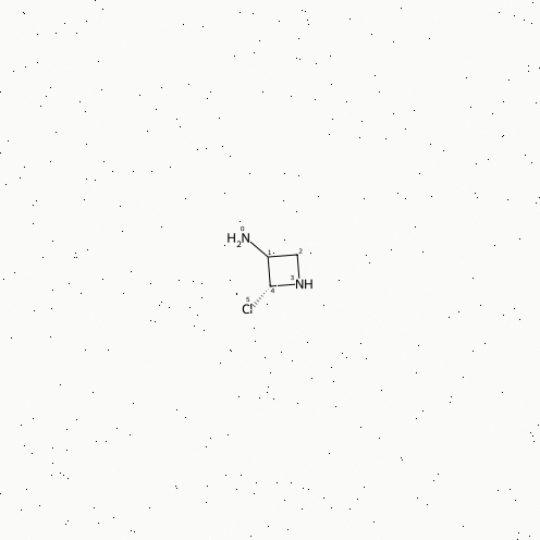 NC1CN[C@@H]1Cl